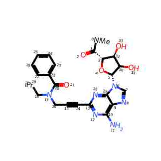 CNC(=O)[C@H]1O[C@@H](n2cnc3c(N)nc(C#CCN(CC(C)C)C(=O)c4ccccc4)nc32)C(O)[C@@H]1O